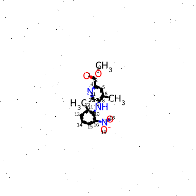 COC(=O)c1cc(C)c(Nc2c(C)cccc2[N+](=O)[O-])cn1